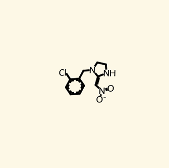 O=[N+]([O-])C=C1NCCN1Cc1ccccc1Cl